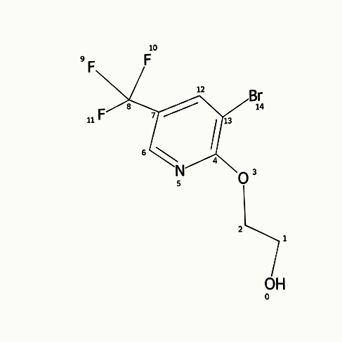 OCCOc1ncc(C(F)(F)F)cc1Br